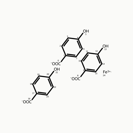 O=C([O-])c1ccc(O)cc1.O=C([O-])c1ccc(O)cc1.O=C([O-])c1ccc(O)cc1.[Fe+3]